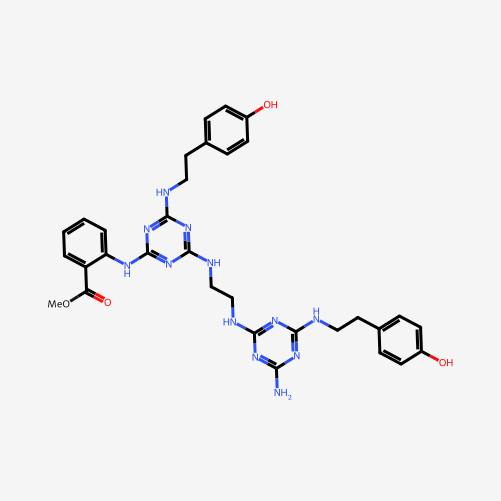 COC(=O)c1ccccc1Nc1nc(NCCNc2nc(N)nc(NCCc3ccc(O)cc3)n2)nc(NCCc2ccc(O)cc2)n1